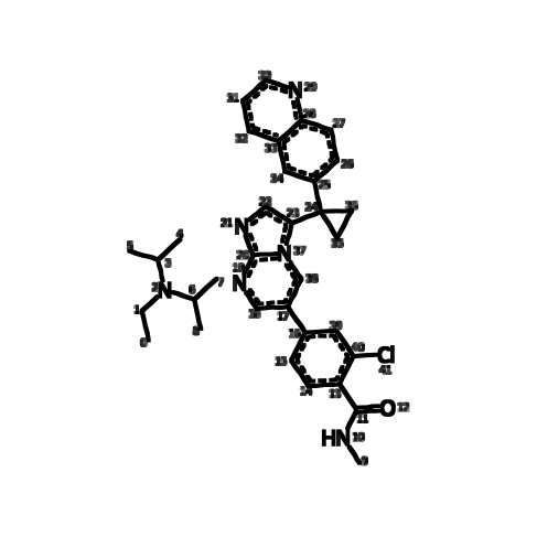 CCN(C(C)C)C(C)C.CNC(=O)c1ccc(-c2cnc3ncc(C4(c5ccc6ncccc6c5)CC4)n3c2)cc1Cl